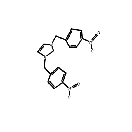 O=[N+]([O-])c1ccc(CN2C=CN(Cc3ccc([N+](=O)[O-])cc3)C2)cc1